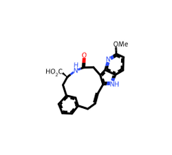 COc1ccc2[nH]c3c(c2n1)CC(=O)N[C@H](C(=O)O)Cc1cccc(c1)C/C=C/3